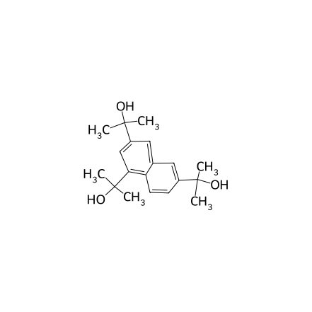 CC(C)(O)c1ccc2c(C(C)(C)O)cc(C(C)(C)O)cc2c1